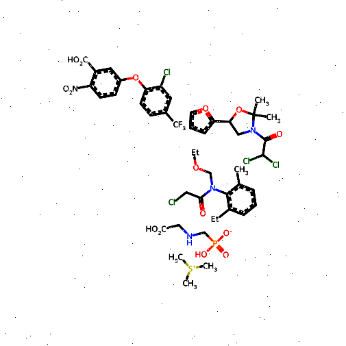 CC1(C)OC(c2ccco2)CN1C(=O)C(Cl)Cl.CCOCN(C(=O)CCl)c1c(C)cccc1CC.C[S+](C)C.O=C(O)CNCP(=O)([O-])O.O=C(O)c1cc(Oc2ccc(C(F)(F)F)cc2Cl)ccc1[N+](=O)[O-]